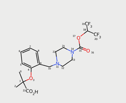 CC(C)(Oc1ccccc1CN1CCN(C(=O)OC(C(F)(F)F)C(F)(F)F)CC1)C(=O)O